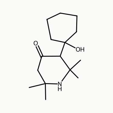 CC1(C)CC(=O)C(C2(O)CCCCC2)C(C)(C)N1